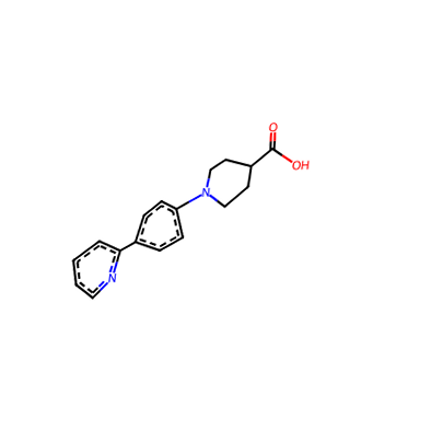 O=C(O)C1CCN(c2ccc(-c3ccccn3)cc2)CC1